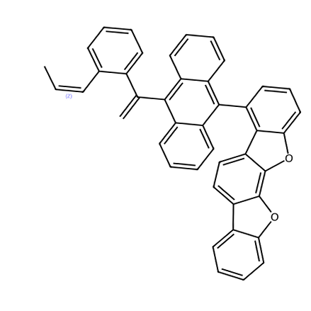 C=C(c1ccccc1/C=C\C)c1c2ccccc2c(-c2cccc3oc4c(ccc5c6ccccc6oc54)c23)c2ccccc12